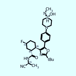 CN=[SH]1(O)CCN(c2ccc(-c3oc(C(C)(C)C)nc3[C@@H]3CC[C@H](F)C[C@H]3C(=O)N[C@@H](C)C#N)cc2)CC1